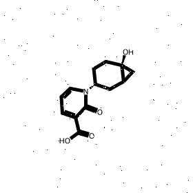 O=C(O)c1cccn([C@@H]2CC[C@]3(O)CC3C2)c1=O